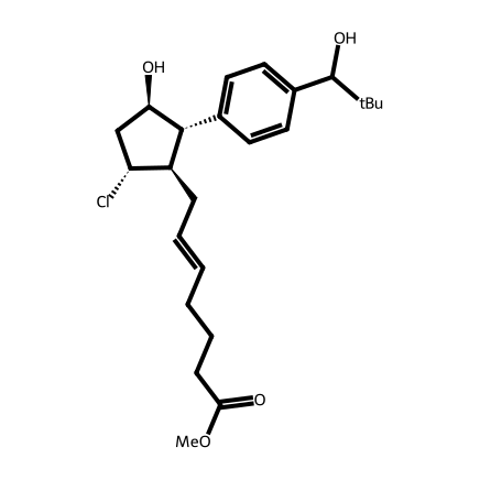 COC(=O)CCCC=CC[C@@H]1[C@@H](c2ccc(C(O)C(C)(C)C)cc2)[C@H](O)C[C@H]1Cl